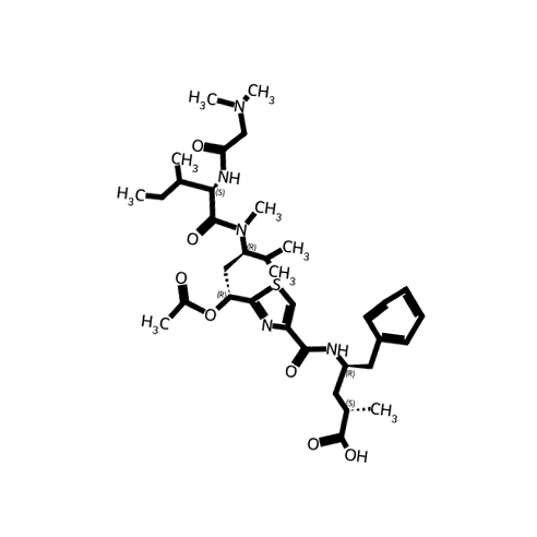 CCC(C)[C@H](NC(=O)CN(C)C)C(=O)N(C)[C@H](C[C@@H](OC(C)=O)c1nc(C(=O)N[C@@H](Cc2ccccc2)C[C@H](C)C(=O)O)cs1)C(C)C